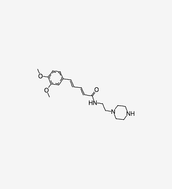 COc1ccc(C=CC=CC(=O)NCCN2CCNCC2)cc1OC